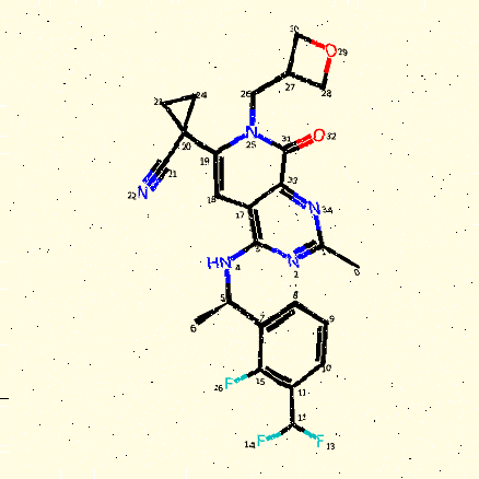 Cc1nc(N[C@H](C)c2cccc(C(F)F)c2F)c2cc(C3(C#N)CC3)n(CC3COC3)c(=O)c2n1